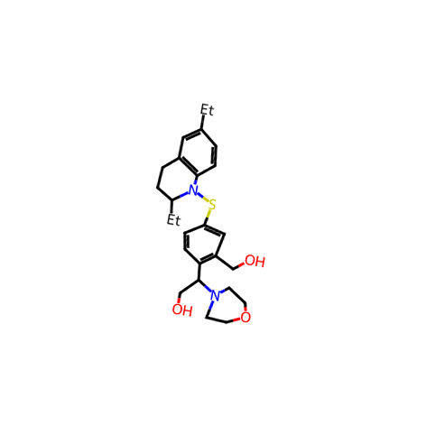 CCc1ccc2c(c1)CCC(CC)N2Sc1ccc(C(CO)N2CCOCC2)c(CO)c1